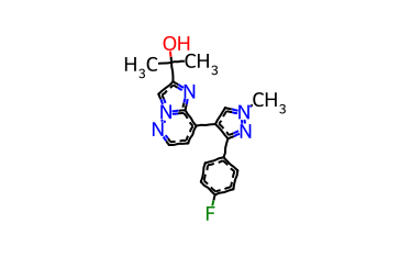 Cn1cc(-c2ccnn3cc(C(C)(C)O)nc23)c(-c2ccc(F)cc2)n1